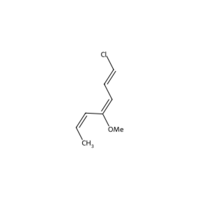 C\C=C/C(=C\C=C\Cl)OC